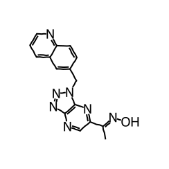 CC(=NO)c1cnc2nnn(Cc3ccc4ncccc4c3)c2n1